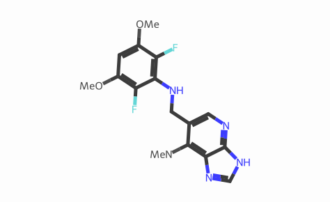 CNc1c(CNc2c(F)c(OC)cc(OC)c2F)cnc2[nH]cnc12